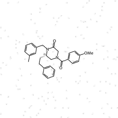 COc1ccc(C(=O)N2CC(=O)N(Cc3cccc(C)c3)[C@@H](CCc3ccccc3)C2)cc1